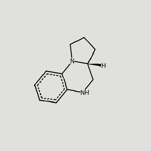 c1ccc2c(c1)NC[C@H]1CCCN21